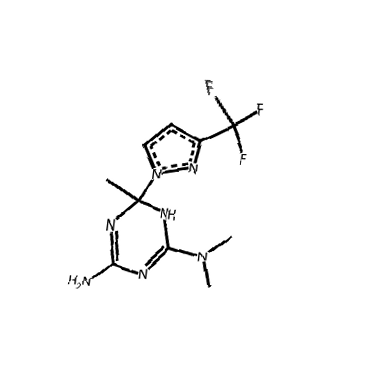 CN(C)C1=NC(N)=NC(C)(n2ccc(C(F)(F)F)n2)N1